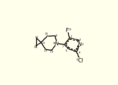 Fc1cnc(Cl)cc1N1CCC2(CC1)CC2